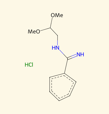 COC(CNC(=N)c1ccccc1)OC.Cl